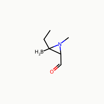 BC1(CC)C(C=O)N1C